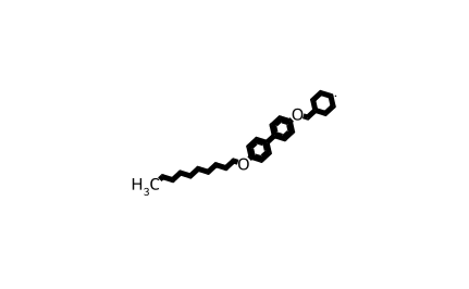 CCCCCCCCCCOc1ccc(-c2ccc(OCC3CC[CH]CC3)cc2)cc1